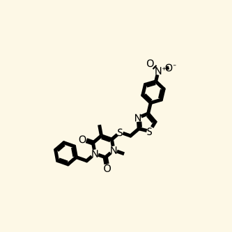 Cc1c(SCc2nc(-c3ccc([N+](=O)[O-])cc3)cs2)n(C)c(=O)n(Cc2ccccc2)c1=O